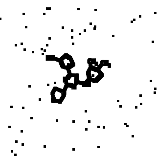 Cc1ccc(Nc2cc(-c3cccc(O)c3)nc(N3CCOCC3)n2)cc1C